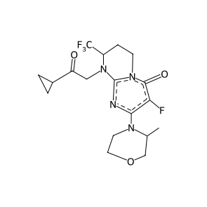 CC1COCCN1c1nc2n(c(=O)c1F)CCC(C(F)(F)F)N2CC(=O)C1CC1